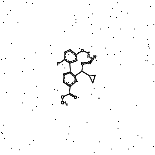 COC(=O)c1ccc(-c2cc(OC)ccc2F)c(C(N=[N+]=[N-])C2CC2)c1